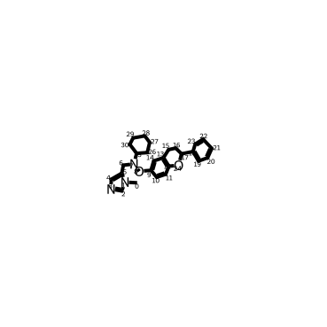 Cn1cncc1CN(Oc1ccc2c(c1)CCC(c1ccccc1)O2)C1CCCCC1